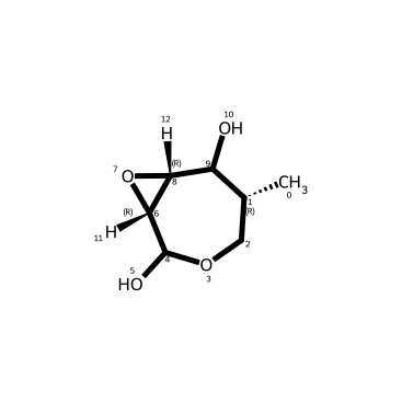 C[C@@H]1COC(O)[C@@H]2O[C@@H]2C1O